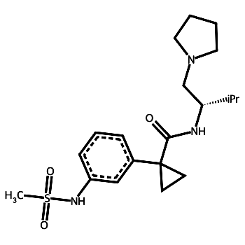 CC(C)[C@@H](CN1CCCC1)NC(=O)C1(c2cccc(NS(C)(=O)=O)c2)CC1